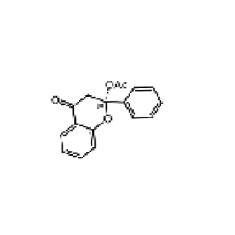 CC(=O)O[C@@]1(c2ccccc2)CC(=O)c2ccccc2O1